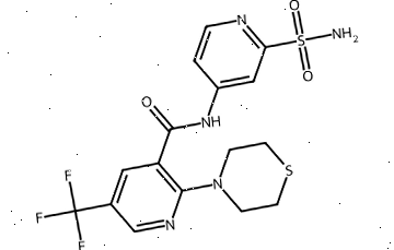 NS(=O)(=O)c1cc(NC(=O)c2cc(C(F)(F)F)cnc2N2CCSCC2)ccn1